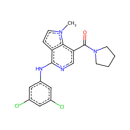 Cn1ccc2c(Nc3cc(Cl)cc(Cl)c3)ncc(C(=O)N3CCCC3)c21